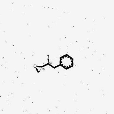 I[C@@H](Cc1ccccc1)[C@@H]1CO1